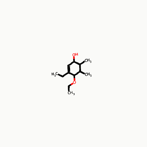 CCOC1C(CC)=CC(O)C(C)C1C